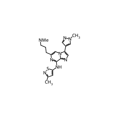 CNCCCc1cn2c(-c3cnn(C)c3)cnc2c(Nc2cc(C)ns2)n1